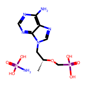 C[C@H](Cn1cnc2c(N)ncnc21)OCP(=O)(O)O.NP(=O)(O)O